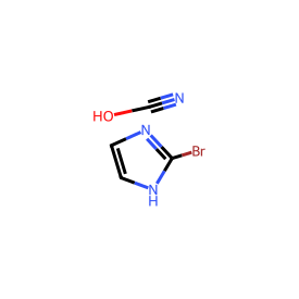 Brc1ncc[nH]1.N#CO